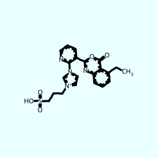 CCc1cccc2nc(-c3cccnc3-n3cc[n+](CCCS(=O)(=O)O)c3)oc(=O)c12